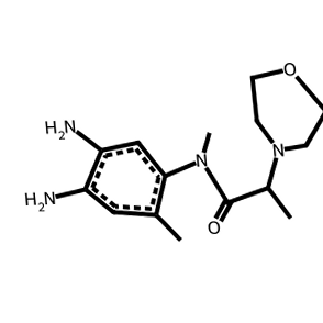 Cc1cc(N)c(N)cc1N(C)C(=O)C(C)N1CCOCC1